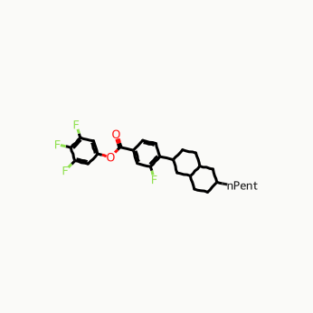 CCCCCC1CCC2CC(c3ccc(C(=O)Oc4cc(F)c(F)c(F)c4)cc3F)CCC2C1